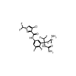 NC(=O)N[C@@](c1cc(NC(=O)c2nn(C(F)F)cc2Cl)cc(F)c1F)(C(F)F)[C@H]1C[C@H]1N